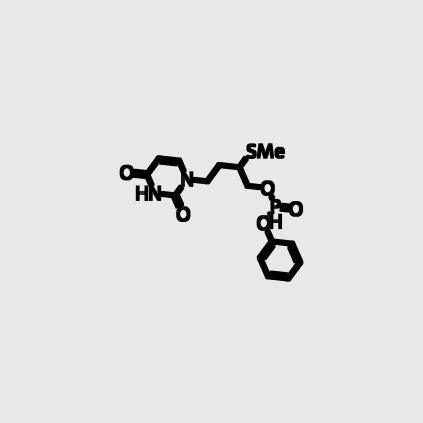 CSC(CCn1ccc(=O)[nH]c1=O)CO[PH](=O)Oc1ccccc1